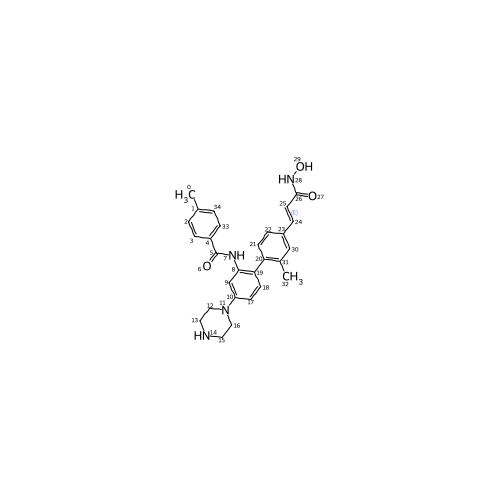 Cc1ccc(C(=O)Nc2cc(N3CCNCC3)ccc2-c2ccc(/C=C/C(=O)NO)cc2C)cc1